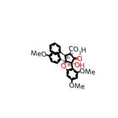 COc1ccc([C@@]23Oc4cc(OC)cc(OC)c4[C@]2(O)C(=O)[C@@H](C(=O)O)[C@@H]3c2ccccc2)cc1